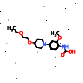 CCOCCOC1CCN(c2ccc(NC(=O)O)c(OC)c2)CC1